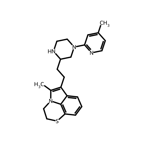 Cc1ccnc(N2CCNC(CCc3c(C)n4c5c(cccc35)SCC4)C2)c1